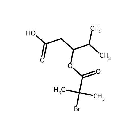 CC(C)C(CC(=O)O)OC(=O)C(C)(C)Br